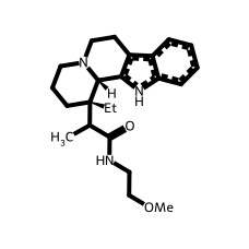 CC[C@@]1(C(C)C(=O)NCCOC)CCCN2CCc3c([nH]c4ccccc34)[C@@H]21